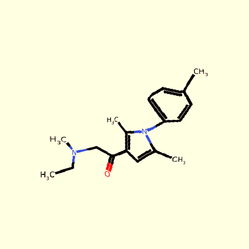 CCN(C)CC(=O)c1cc(C)n(-c2ccc(C)cc2)c1C